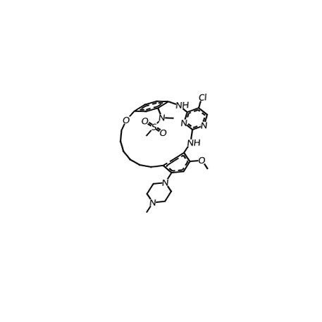 COc1cc(N2CCN(C)CC2)c2cc1Nc1ncc(Cl)c(n1)Nc1ccc(cc1N(C)S(C)(=O)=O)OCCCCCC2